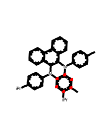 Cc1ccc(N(c2ccc(C(C)C)cc2)c2c(N(c3ccc(C)cc3)c3ccc(C(C)C)cc3)c3ccccc3c3ccccc23)cc1